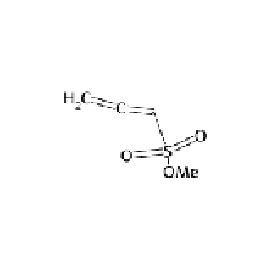 C=C=CS(=O)(=O)OC